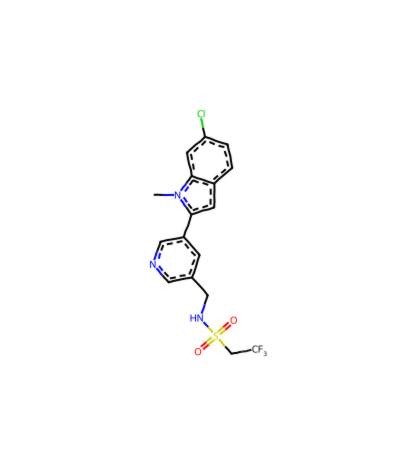 Cn1c(-c2cncc(CNS(=O)(=O)CC(F)(F)F)c2)cc2ccc(Cl)cc21